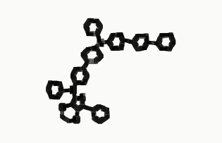 c1ccc(-c2ccc(-c3ccc(N(c4ccccc4)c4ccc(-c5ccc(N(c6ccccc6)c6sc(-c7ccccc7)c7c6OCCO7)cc5)cc4)cc3)cc2)cc1